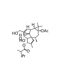 CC(=O)O[C@@]12C[C@@H](C)[C@]34C=C(C)[C@H](OC(=O)C(C)C(C)C)[C@@]3(O)[C@H](O)C(CO)=C[C@H](C4=O)[C@@H]1C2(C)C